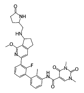 COc1nc(-c2cccc(-c3cccc(NC(=O)c4cn(C)c(=O)n(C)c4=O)c3C)c2F)cc2c1C(NCC1CCC(=O)N1)CC2